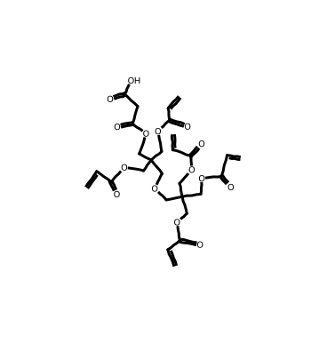 C=CC(=O)OCC(COCC(COC(=O)C=C)(COC(=O)C=C)COC(=O)CC(=O)O)(COC(=O)C=C)COC(=O)C=C